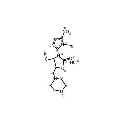 C=NC1C(CN2CCOCC2)OC(=O)N1c1ncc([N+](=O)[O-])n1C.Cl